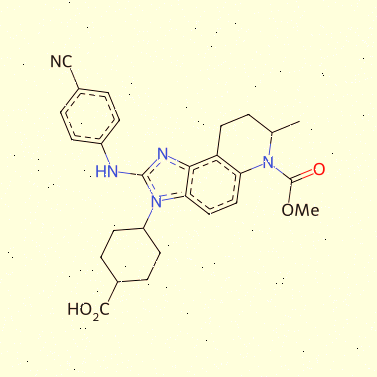 COC(=O)N1c2ccc3c(nc(Nc4ccc(C#N)cc4)n3C3CCC(C(=O)O)CC3)c2CCC1C